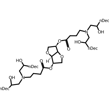 CCCCCCCCCCC(O)CN(CCCC(=O)O[C@@H]1CO[C@H]2C1OC[C@H]2OC(=O)CCCN(CC(O)CCCCCCCCCC)CC(O)CCCCCCCCCC)CC(O)CCCCCCCCCC